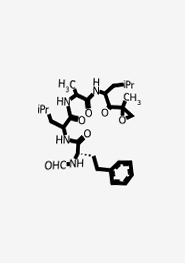 CC(C)CC(NC(=O)[C@H](CCc1ccccc1)NC=O)C(=O)NC(C)C(=O)NC(CC(C)C)C(=O)C1(C)CO1